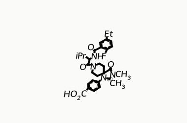 CCc1ccc(F)c(C(=O)NC(C(=O)N2CCC3(CC2)C(=O)N(C)[C@H](C)N3c2ccc(C(=O)O)cc2)C(C)C)c1